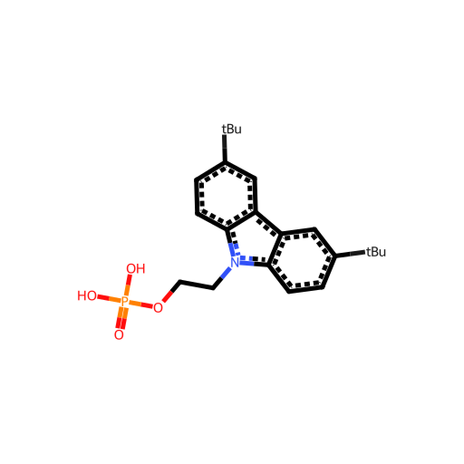 CC(C)(C)c1ccc2c(c1)c1cc(C(C)(C)C)ccc1n2CCOP(=O)(O)O